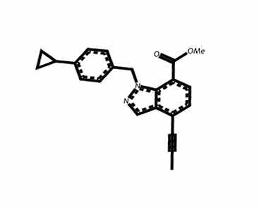 CC#Cc1ccc(C(=O)OC)c2c1cnn2Cc1ccc(C2CC2)cc1